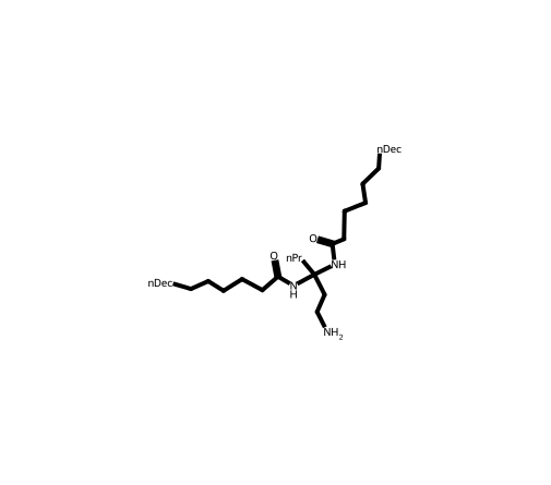 CCCCCCCCCCCCCCCC(=O)NC(CCC)(CCN)NC(=O)CCCCCCCCCCCCCCC